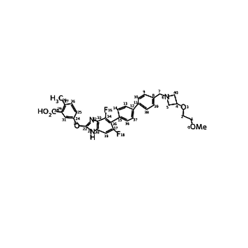 COCCOC1CN(Cc2ccc(-c3ccc(-c4c(F)cc5[nH]c(Oc6ccc(C)c(C(=O)O)c6)nc5c4F)cc3)cc2)C1